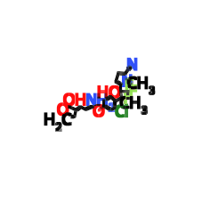 C=C/C(=C\C=C(/N)Oc1ccc([C@@H](C)[C@@](O)(c2ccc(C#N)n2C)C(F)(F)F)c(Cl)c1)C(=O)O